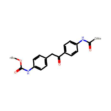 CCCCOC(=O)Nc1ccc(CC(=O)c2ccc(NC(=O)OC)cc2)cc1